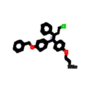 CNCCOc1ccc(/C(=C(\CCCl)c2ccccc2)c2ccc(OCc3ccccc3)cc2)cc1